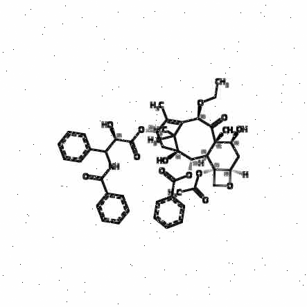 CCO[C@H]1C(=O)[C@@]2(C)[C@H]([C@H](OC(=O)c3ccccc3)[C@]3(O)C[C@H](OC(=O)[C@H](O)C(NC(=O)c4ccccc4)c4ccccc4)C(C)=C1C3(C)C)[C@]1(OC(C)=O)CO[C@@H]1C[C@@H]2O